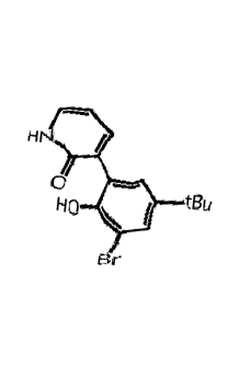 CC(C)(C)c1cc(Br)c(O)c(-c2ccc[nH]c2=O)c1